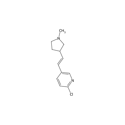 CN1CCC(/C=C/c2ccc(Cl)nc2)C1